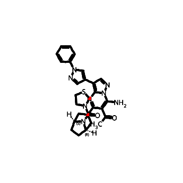 CC(=O)c1c(C2C[C@H]3CC[C@@H](C2)N3C(=O)N2CCSC2)nc2c(-c3cnn(-c4ccccc4)c3)cnn2c1N